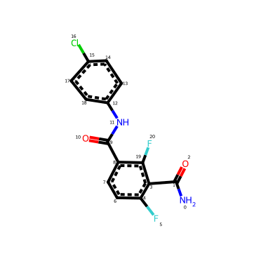 NC(=O)c1c(F)ccc(C(=O)Nc2ccc(Cl)cc2)c1F